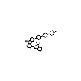 CN1CCC(N2CCN(c3ccc(-c4ccc5[nH]c6nccc(/C=C/c7ccccc7C(F)(F)F)c6c5c4)cc3)CC2)CC1